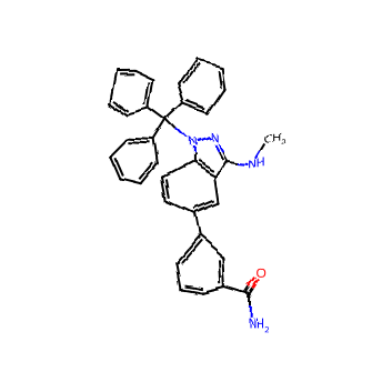 CNc1nn(C(c2ccccc2)(c2ccccc2)c2ccccc2)c2ccc(-c3cccc(C(N)=O)c3)cc12